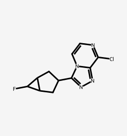 FC1C2CC(c3nnc4c(Cl)nccn34)CC12